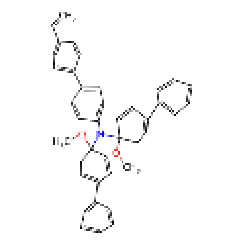 C=Cc1ccc(-c2ccc(N(C3(OC)C=CC(c4ccccc4)=CC3)C3(OC)C=CC(c4ccccc4)=CC3)cc2)cc1